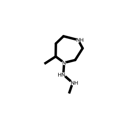 CNNN1CCNCCC1C